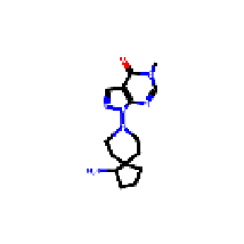 Cn1cnc2c(cnn2N2CCC3(CCCC3N)CC2)c1=O